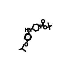 CC(C)COc1ccc(NC2CCN(C(=O)OC(C)(C)C)CC2)cc1